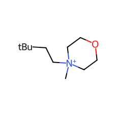 CC(C)(C)CC[N+]1(C)CCOCC1